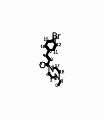 CCN1CCN(C(=O)C=Cc2ccc(Br)cc2)CC1